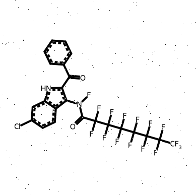 O=C(c1ccccc1)c1[nH]c2cc(Cl)ccc2c1N(F)C(=O)C(F)(F)C(F)(F)C(F)(F)C(F)(F)C(F)(F)C(F)(F)C(F)(F)F